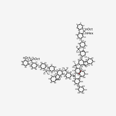 CCCCCCCCC1(CCCCCC)c2ccccc2-c2ccc(-c3ccc4c(c3)C(C)(C)c3cc(-c5cc6c(c7oc8ccccc8c57)-c5ccc(N(c7ccc8c(c7)C(C)(C)c7cc(-c9ccc%10c(c9)C(C)(C)c9cc(-c%11ccc%12c(c%11)C(CCCCCCCC)(CCCCCCCC)c%11ccccc%11-%12)ccc9-%10)c9c(oc%10ccccc%109)c7-8)c7ccc(-c8ccccc8)cc7-c7ccccc7)cc5C6(C)C)ccc3-4)cc21